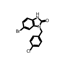 O=c1[nH]c2ccc(Br)cc2n1Cc1ccc(Cl)cc1